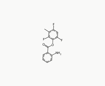 Cc1c(F)cc(F)c(OC(=O)c2ccccc2N)c1F